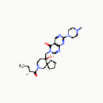 C[C@H](CC(F)(F)F)C(=O)N1CCC(O)(Cn2cnc3nc(N4CCN(C)CC4)ncc3c2=O)C2(CCCC2)C1